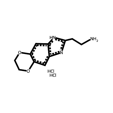 Cl.Cl.NCCc1nc2cc3c(cc2[nH]1)OCCO3